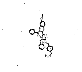 CCOc1ccc(CC(NC(=O)c2ccccc2)C(=O)NC(Cc2cccnc2)C(=O)NCc2ccc(CN)cc2)cc1